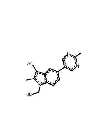 CC(=O)c1c(C)n(CC(C)(C)C)c2ccc(-c3cnc(C)nc3)cc12